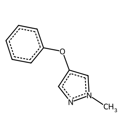 Cn1cc(Oc2ccccc2)cn1